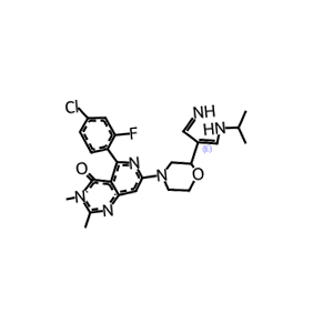 Cc1nc2cc(N3CCOC(/C(C=N)=C/NC(C)C)C3)nc(-c3ccc(Cl)cc3F)c2c(=O)n1C